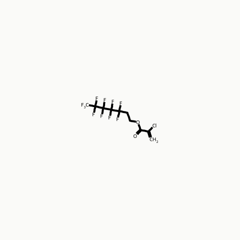 C=C(Cl)C(=O)OCCC(F)(F)C(F)(F)C(F)(F)C(F)(F)C(F)(F)F